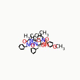 COc1ccc(S(=O)(=O)N(CC(C)C)C[C@H](O)[C@H](Cc2ccccc2)NC(=O)[C@H](C(C)C)N2CC(=O)N(Cc3ccccc3)C2=O)cc1